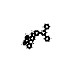 CC1(C)c2ccc(-c3cc(-c4ccccc4)cc(-c4ccccc4)n3)cc2-c2cc3c(cc21)C1(c2ccccc2S3)c2ccccc2-c2ccccc21